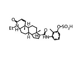 CCN1C(=O)C=C[C@]2(C)[C@H]3CC[C@]4(C)[C@@H](C(=O)Nc5cccc(OS(=O)(=O)O)c5C)CC[C@H]4[C@@H]3CC[C@@H]12